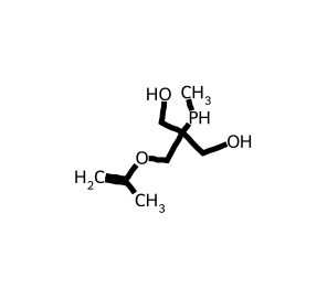 C=C(C)OCC(CO)(CO)PC